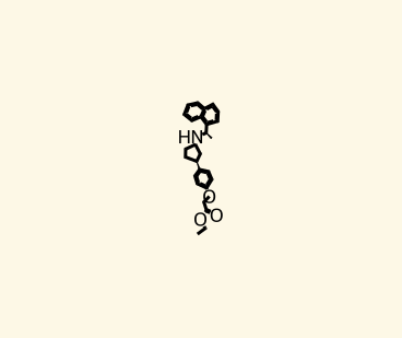 CCOC(=O)COc1ccc([C@H]2CCC(N[C@H](C)c3cccc4ccccc34)C2)cc1